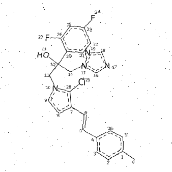 Cc1ccc(C=Cc2ccn(CC(O)(Cn3cncn3)c3ccc(F)cc3F)c2Cl)cc1